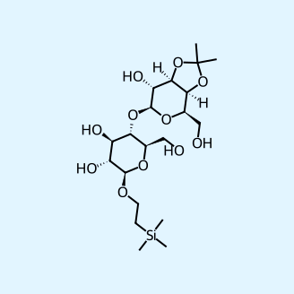 CC1(C)O[C@@H]2[C@@H](O)[C@H](O[C@H]3[C@H](O)[C@@H](O)[C@H](OCC[Si](C)(C)C)O[C@@H]3CO)O[C@H](CO)[C@@H]2O1